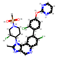 Cc1nc2cnc3cc(F)c(-c4ccc(Oc5ncccn5)cc4Cl)cc3c2n1C1CCN(S(C)(=O)=O)C[C@@H]1F